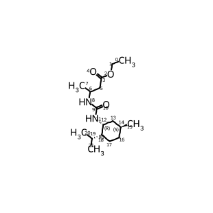 CCOC(=O)CC(C)NC(=O)N[C@@H]1C[C@@H](C)CC[C@@H]1C(C)C